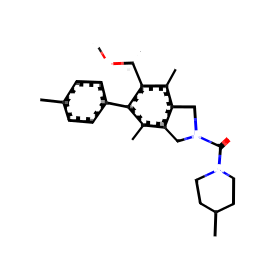 Cc1ccc(-c2c(C)c3c(c(C)c2[C@H](OC(C)(C)C)C(=O)O)CN(C(=O)N2CCC(C)CC2)C3)cc1